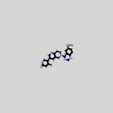 COc1ccc2ncnc(N3CCc4ncc(-c5cnc(F)cc5C)cc4C3)c2c1